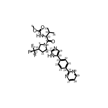 COC(=O)N[C@H](C(=O)N1CC(C(F)(F)F)C[C@H]1c1ncc(-c2ccc(-c3ncccn3)cc2)[nH]1)C(C)C